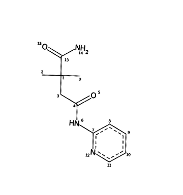 CC(C)(CC(=O)Nc1ccccn1)C(N)=O